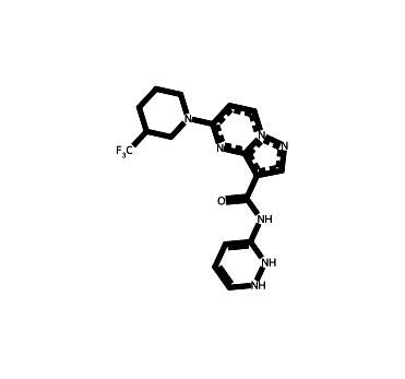 O=C(NC1=CC=CNN1)c1cnn2ccc(N3CCCC(C(F)(F)F)C3)nc12